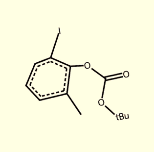 Cc1cccc(I)c1OC(=O)OC(C)(C)C